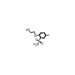 COCCOc1ccc(C)cc1S(N)(=O)=O